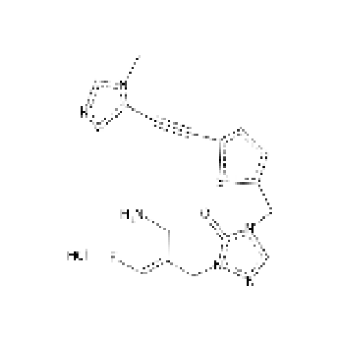 Cl.Cn1cncc1C#Cc1ccc(Cn2cnn(C/C(=C/F)CN)c2=O)s1